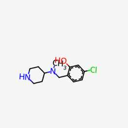 CN(Cc1ccc(Cl)cc1O)C1CCNCC1